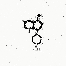 CN1CCN(c2ccc(N)c3cccnc23)CC1